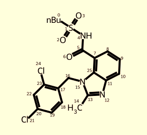 CCCCS(=O)(=O)NC(=O)c1cccc2nc(C)n(Cc3ccc(Cl)cc3Cl)c12